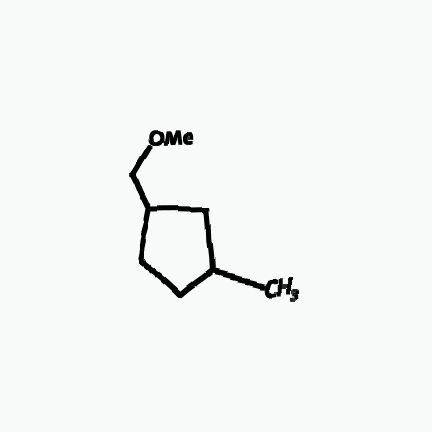 COCC1CCC(C)C1